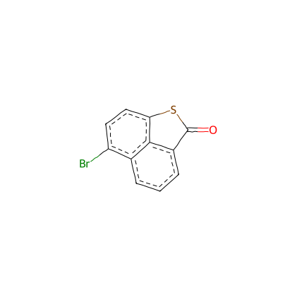 O=C1Sc2ccc(Br)c3cccc1c23